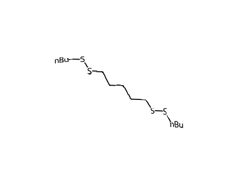 CCCCSSCCCCCSSCCCC